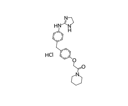 Cl.O=C(COc1ccc(Cc2ccc(NC3=NCCN3)cc2)cc1)N1CCCCC1